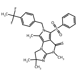 Cc1c2c(c(S(=O)(=O)c3ccccc3)n1Cc1ccc(C(C)(F)F)cc1)C(=S)N(C)C1=NC(C)(C)CN12